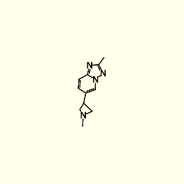 Cc1nc2ccc(C3CN(C)C3)cn2n1